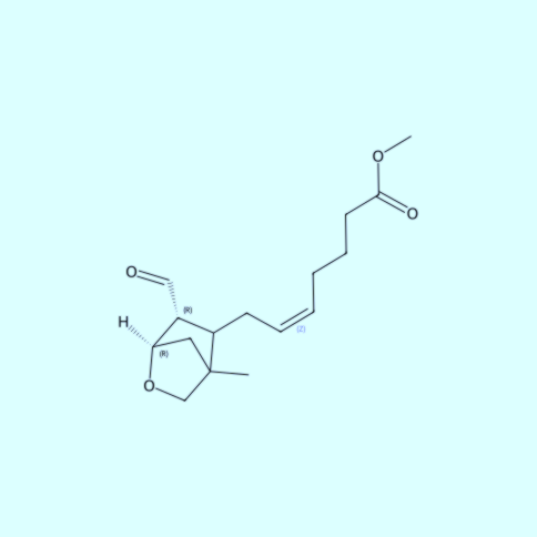 COC(=O)CCC/C=C\CC1[C@@H](C=O)[C@H]2CC1(C)CO2